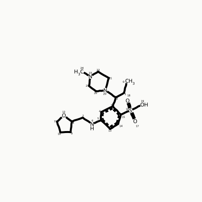 CCC(c1cc(NCC2CCCO2)ccc1S(=O)(=O)O)N1CCN(C)CC1